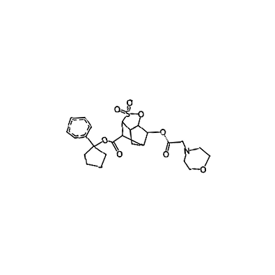 O=C(CN1CCOCC1)OC1C2CC3C1OS(=O)(=O)C3C2C(=O)OC1(c2ccccc2)CCCC1